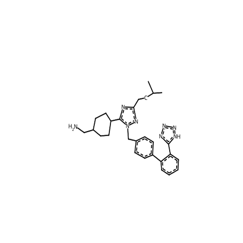 CC(C)CCc1nc(C2CCC(CN)CC2)n(Cc2ccc(-c3ccccc3-c3nnn[nH]3)cc2)n1